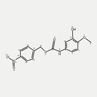 COc1ccc(NC(=O)OCc2ccc([N+](=O)[O-])cc2)cc1O